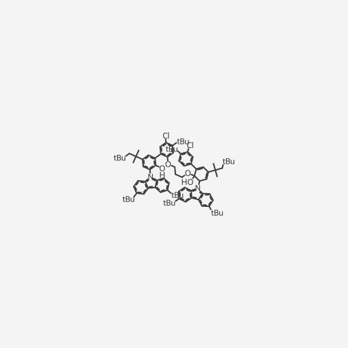 CC(C)(C)CC(C)(C)C1=CC(n2c3ccc(C(C)(C)C)cc3c3cc(C(C)(C)C)ccc32)C(O)(OCCCOc2cc(C(C)(C)C)c(Cl)cc2-c2cc(C(C)(C)CC(C)(C)C)cc(-n3c4ccc(C(C)(C)C)cc4c4cc(C(C)(C)C)ccc43)c2O)C(c2ccc(C(C)(C)C)c(Cl)c2)=C1